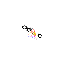 N=C(S(=O)(=O)c1ccccc1)S(=O)(=O)c1ccc(C2CCCCC2)cc1